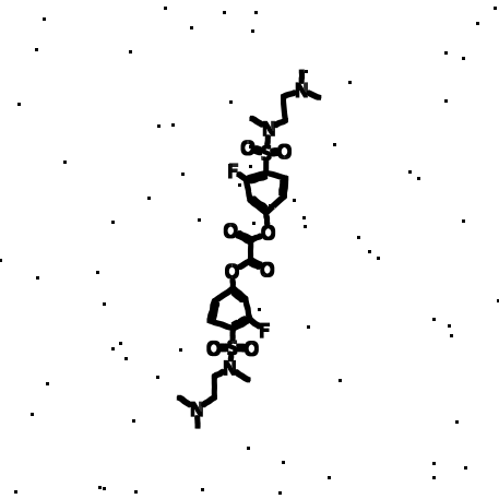 CN(C)CCN(C)S(=O)(=O)c1ccc(OC(=O)C(=O)Oc2ccc(S(=O)(=O)N(C)CCN(C)C)c(F)c2)cc1F